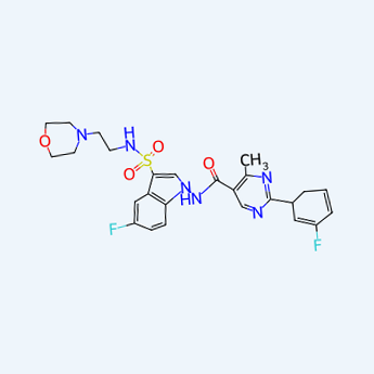 Cc1nc(C2C=C(F)C=CC2)ncc1C(=O)Nn1cc(S(=O)(=O)NCCN2CCOCC2)c2cc(F)ccc21